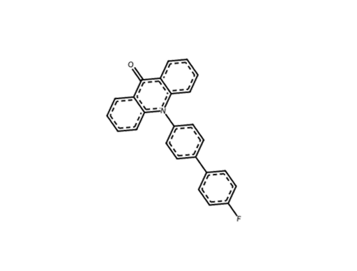 O=c1c2ccccc2n(-c2ccc(-c3ccc(F)cc3)cc2)c2ccccc12